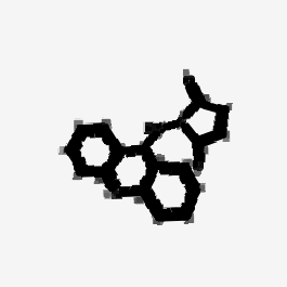 O=C1C=CC(=O)N1Nc1c2ccccc2nc2ccccc12